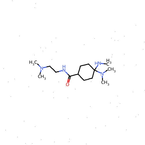 CNC1(N(C)C)CCC(C(=O)NCCN(C)C)CC1